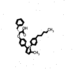 CCCCCc1ccc(-n2c(C)ccc2-c2ccc(O[C@H](Cc3ccccc3)C(=O)O)cc2)cc1